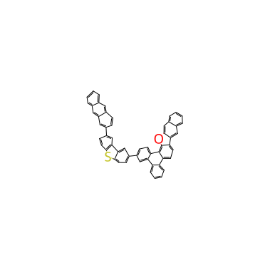 c1ccc2cc3cc(-c4ccc5sc6ccc(-c7ccc8c(c7)c7ccccc7c7ccc9c%10cc%11ccccc%11cc%10oc9c78)cc6c5c4)ccc3cc2c1